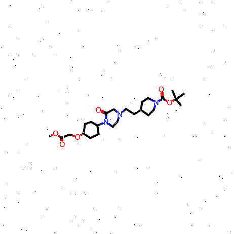 COC(=O)COC1CCC(N2CCN(CCC3CCN(C(=O)OC(C)(C)C)CC3)CC2=O)CC1